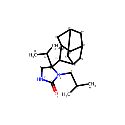 CC(C)CN1C(=O)NCC1(C(C)C)C1C2CC3CC(C2)CC1C3